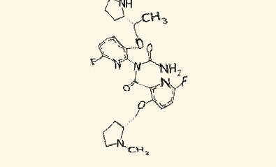 CC(Oc1ccc(F)nc1N(C(N)=O)C(=O)c1nc(F)ccc1OC[C@H]1CCCN1C)[C@@H]1CCCN1